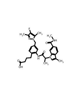 CNC(=O)c1ccc2c(C)cn(C(C)C(=O)Nc3cc(Cn4nc(C)c(F)c4C)ccc3CCCC(=O)O)c2c1